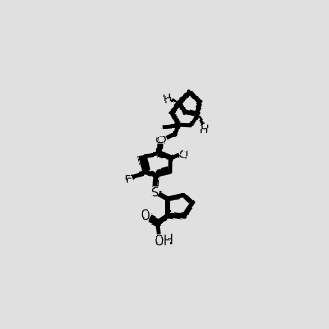 CC1(COc2cc(F)c(SC3CCCC3C(=O)O)cc2Cl)C[C@@H]2CC[C@@H](C2)C1